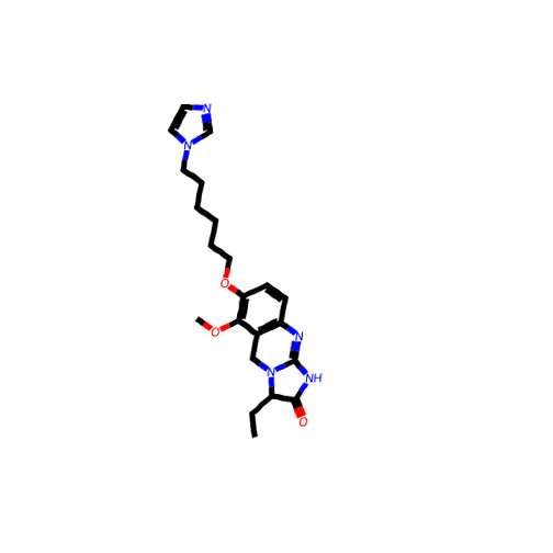 CCC1C(=O)NC2=Nc3ccc(OCCCCCCn4ccnc4)c(OC)c3CN21